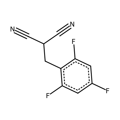 N#CC(C#N)Cc1c(F)cc(F)cc1F